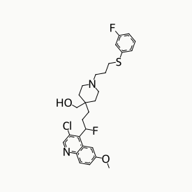 COc1ccc2ncc(Cl)c(C(F)CCC3(CO)CCN(CCCSc4cccc(F)c4)CC3)c2c1